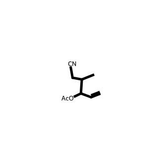 C=CC(OC(C)=O)C(C)CC#N